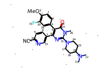 COc1ccc(-c2c(-c3ccc(C#N)nc3)nc(N3CCC(N(C)C)CC3)n(C)c2=O)cc1F